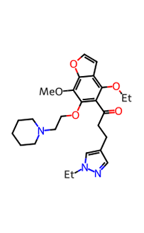 CCOc1c(C(=O)CCc2cnn(CC)c2)c(OCCN2CCCCC2)c(OC)c2occc12